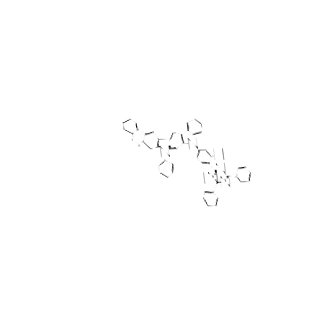 c1ccc(C2=NC(c3ccccc3)NC(c3ccc(-n4c5ccccc5c5cc6c7cc8c(cc7n(-c7ccccc7)c6cc54)sc4ccccc48)cc3)N2)cc1